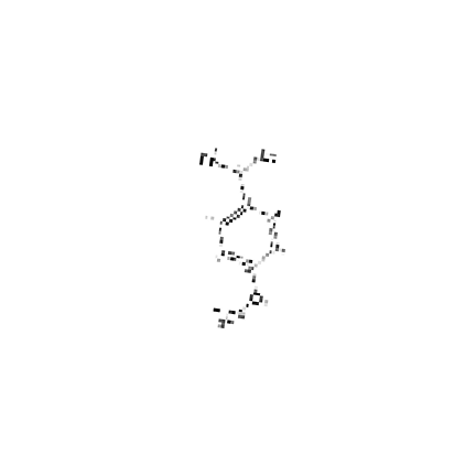 CCC(CC)c1ccc(OC(F)(F)F)cc1